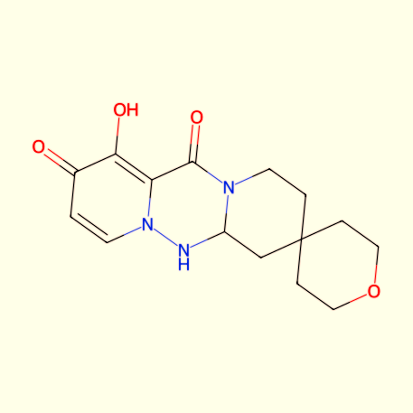 O=C1c2c(O)c(=O)ccn2NC2CC3(CCOCC3)CCN12